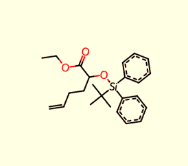 C=CCCC(O[Si](c1ccccc1)(c1ccccc1)C(C)(C)C)C(=O)OCC